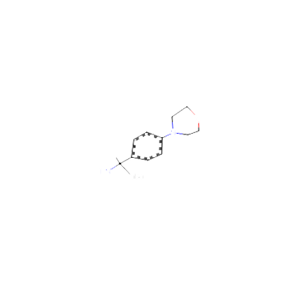 CCCCC(N)(C=O)c1ccc(N2CCOCC2)cc1